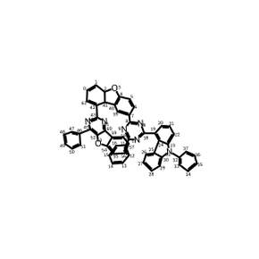 C1=CC2Oc3ccc(-c4nc(-c5ccccc5)nc(-c5cccc6c5c5ccccc5n6-c5ccccc5)n4)cc3C2C(c2nc(-c3ccccc3)c3oc4ccccc4c3n2)=C1